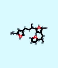 Cc1oc(C(C)CCc2coc(C(C)C)c2)cc1CC(C)c1ccco1